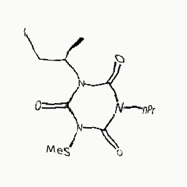 CCCn1c(=O)n(SC)c(=O)n([C@H](C)CI)c1=O